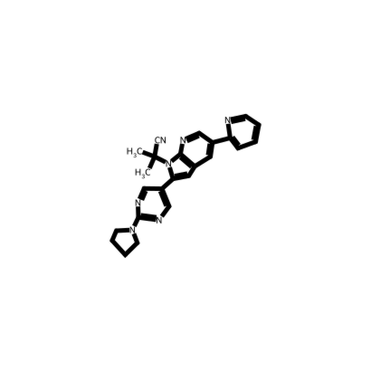 CC(C)(C#N)n1c(-c2cnc(N3CCCC3)nc2)cc2cc(-c3ccccn3)cnc21